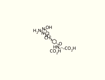 Cn1c(CCc2ccc(C(=O)N[C@@H](CCC(=O)O)C(=O)O)cc2)cc2c(O)nc(N)nc21